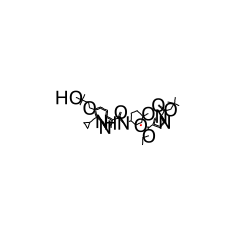 CCOC(=O)c1cnn(C(=O)OC(C)(C)C)c1OC1CCC(NC(=O)c2cnn3c(C4CC4)c(OCC(C)(C)O)ccc23)CC1